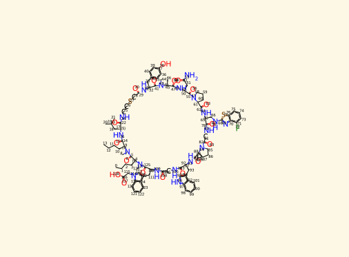 CCCC[C@H]1C(=O)N(C)[C@@H](CCCC)C(=O)N[C@@H](CC(C)C)C(=O)NCCSCC(=O)N[C@@H](Cc2ccc(O)cc2)C(=O)N(C)[C@@H](C)C(=O)N[C@@H](CC(N)=O)C(=O)N2CCCC2C(=O)N[C@@H](CNc2nc3c(F)cccc3s2)C(=O)NCC(=O)N2CCC[C@H]2C(=O)N[C@@H](Cc2c[nH]c3ccccc23)C(=O)NCC(=O)N[C@@H](Cc2cn(CC(=O)O)c3ccccc23)C(=O)N1C